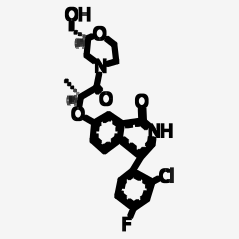 C[C@@H](Oc1ccc2c(-c3ccc(F)cc3Cl)c[nH]c(=O)c2c1)C(=O)N1CCO[C@@H](CO)C1